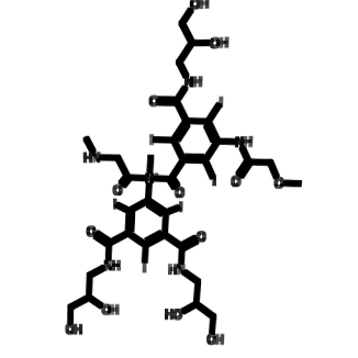 CNCC(=O)[N+](C)(C(=O)c1c(I)c(NC(=O)COC)c(I)c(C(=O)NCC(O)CO)c1I)c1c(I)c(C(=O)NCC(O)CO)c(I)c(C(=O)NCC(O)CO)c1I